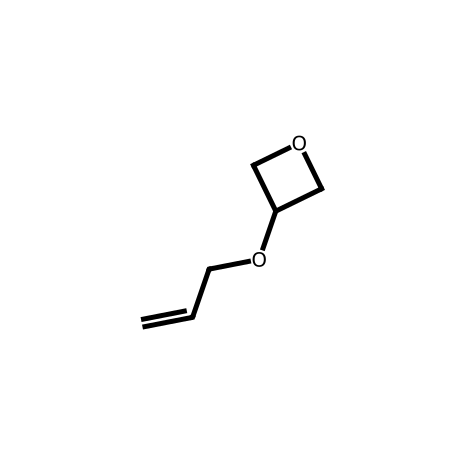 C=CCOC1COC1